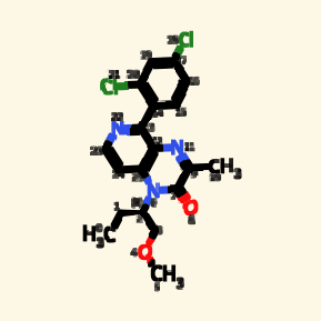 CC[C@H](COC)n1c(=O)c(C)nc2c(-c3ccc(Cl)cc3Cl)nccc21